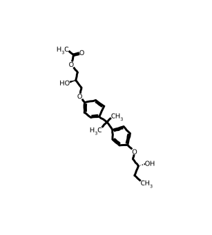 CC[C@@H](O)COc1ccc(C(C)(C)c2ccc(OC[C@@H](O)COC(C)=O)cc2)cc1